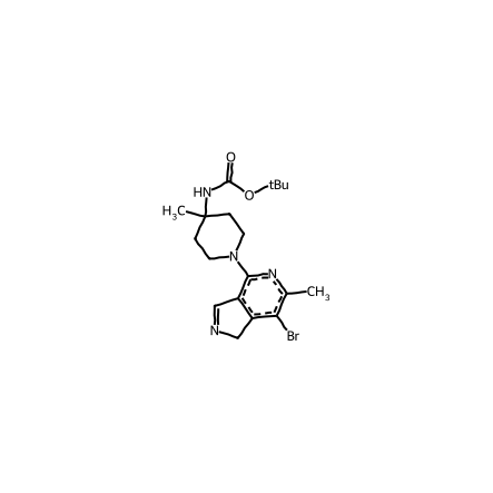 Cc1nc(N2CCC(C)(NC(=O)OC(C)(C)C)CC2)c2c(c1Br)CN=C2